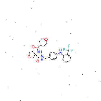 O=C(N[C@@]1(C(=O)NCc2ccc(Nc3ccccc3C(F)(F)F)cc2)CCOC1)C1CCOCC1